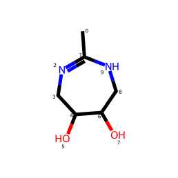 CC1=NCC(O)C(O)CN1